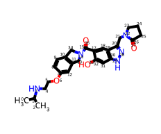 CC(C)NCCOc1ccc2c(c1)CN(C(=O)c1cc3c(CN4CCCC4=O)n[nH]c3cc1O)C2